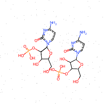 Nc1ccn(C2OC(CO)C(O)C2OP(=O)(O)O)c(=O)n1.Nc1ccn(C2OC(CO)C(OP(=O)(O)O)C2O)c(=O)n1